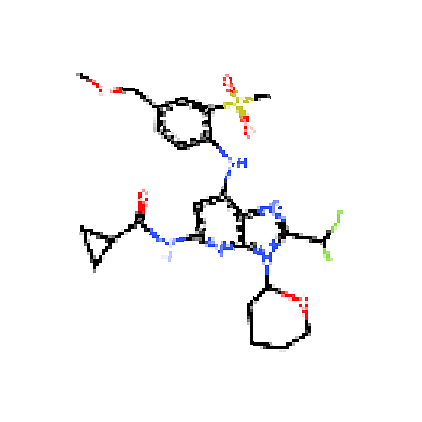 COCc1ccc(Nc2cc(NC(=O)C3CC3)nc3c2nc(C(F)F)n3C2CCCCO2)c(S(C)(=O)=O)c1